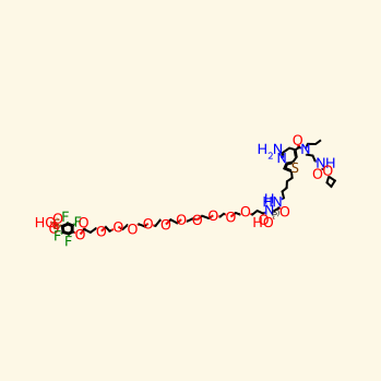 CCCN(CCCNC(=O)OC1CCC1)C(=O)C1=Cc2sc(CCCCCNC(=O)[C@H](CO)NC(=O)CCOCCOCCOCCOCCOCCOCCOCCOCCOCCOCCC(=O)Oc3c(F)c(F)c(S(=O)(=O)O)c(F)c3F)cc2N=C(N)C1